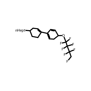 CCCCCCCC1CC=C(C2=CCC(OC(F)(F)C(F)(F)C(F)(F)CF)C=C2)CC1